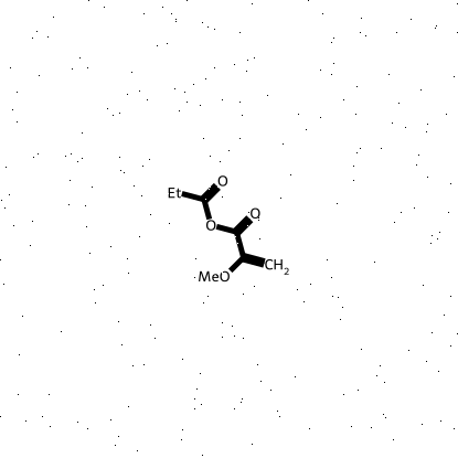 C=C(OC)C(=O)OC(=O)CC